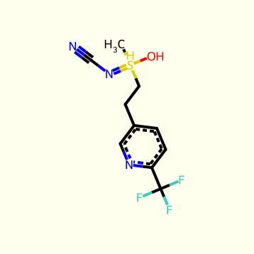 C[SH](O)(CCc1ccc(C(F)(F)F)nc1)=NC#N